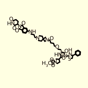 CS(=O)(=O)N1CCC(C(=O)N[C@@H](CCOCCCC(=O)N2CC3(CCN(CCCNc4ccc5c(c4)C(=O)N(C4CCC(=O)NC4=O)C5=O)CC3)C2)C(=O)NC2NC(c3ccccc3)CS2)C1